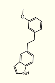 COc1cccc(CCc2ccc3[nH]ccc3c2)c1